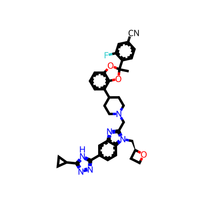 CC1(c2ccc(C#N)cc2F)Oc2cccc(C3CCN(Cc4nc5cc(-c6nnc(C7CC7)[nH]6)ccc5n4C[C@@H]4CCO4)CC3)c2O1